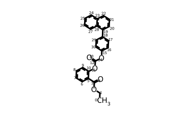 CCOC(=O)c1ccccc1OC(=O)Oc1ccc(-c2cccc3ccccc23)cc1